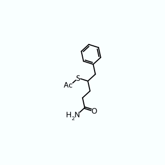 CC(=O)SC(CCC(N)=O)Cc1ccccc1